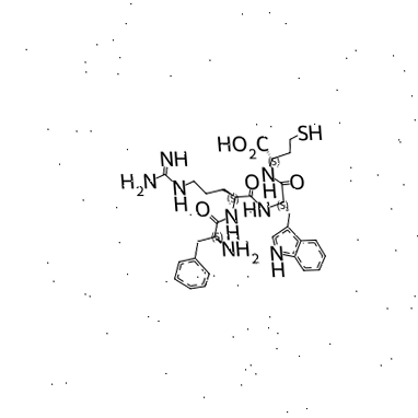 N=C(N)NCCC[C@H](NC(=O)[C@@H](N)Cc1ccccc1)C(=O)N[C@@H](Cc1c[nH]c2ccccc12)C(=O)N[C@@H](CCS)C(=O)O